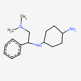 CN(C)CC(NC1CCC(N)CC1)c1ccccc1